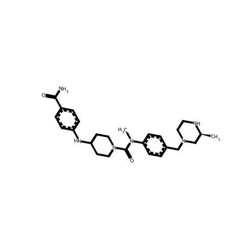 C[C@H]1CN(Cc2ccc(N(C)C(=O)N3CCC(Nc4ccc(C(N)=O)cc4)CC3)cc2)CCN1